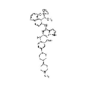 COc1cc(N2CCC(N3CCN(C)CC3)CC2)ccc1Nc1nc(Nc2ccc3nccnc3c2N(C)S(C)(=O)=O)c2cc[nH]c2n1